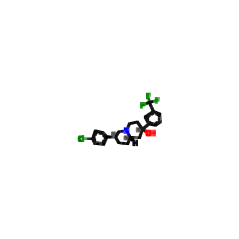 O[C@]1(c2cccc(C(F)(F)F)c2)CCN2C[C@H](c3ccc(Cl)cc3)CC[C@H]2C1